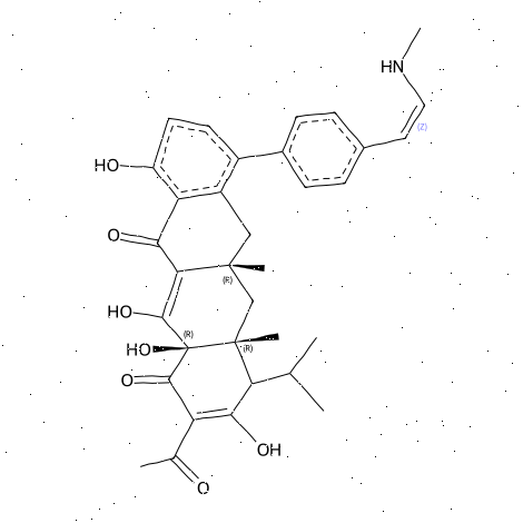 CN/C=C\c1ccc(-c2ccc(O)c3c2C[C@]2(C)C[C@]4(C)C(C(C)C)C(O)=C(C(C)=O)C(=O)[C@]4(O)C(O)=C2C3=O)cc1